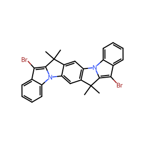 CC1(C)c2cc3c(cc2-n2c1c(Br)c1ccccc12)C(C)(C)c1c(Br)c2ccccc2n1-3